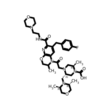 CC1COc2nc(C(=O)NCCN3CCOCC3)c(Cc3ccc(F)cc3)cc2N1C(=O)CN1C[C@@H](C)N(C(=O)O)C[C@@H]1CN1[C@H](C)COC[C@H]1C